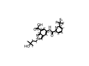 CC(C)(O)CCn1cc2cc(NC(=O)c3cccc(C(F)(F)F)n3)cc(C(=O)O)c2n1